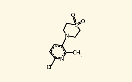 Cc1nc(Cl)ccc1N1CCS(=O)(=O)CC1